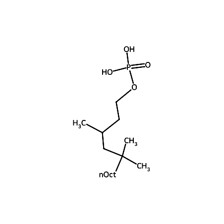 CCCCCCCCC(C)(C)CC(C)CCOP(=O)(O)O